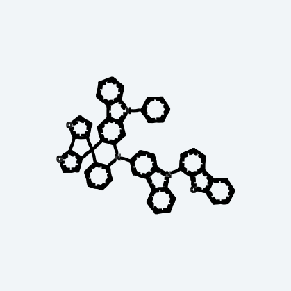 c1ccc(-n2c3ccccc3c3cc4c(cc32)N(c2ccc3c(c2)c2ccccc2n3-c2cccc3c2oc2ccccc23)c2ccccc2C42c3ccoc3-c3occc32)cc1